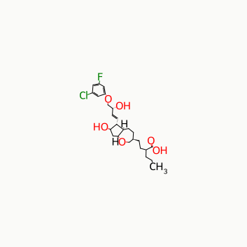 CCCC(CC[C@@H]1CC[C@@H]2[C@@H](C=C[C@@H](O)COc3cc(F)cc(Cl)c3)[C@H](O)C[C@@H]2OC1)C(=O)O